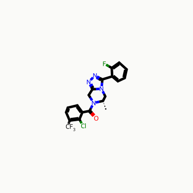 C[C@H]1Cn2c(nnc2-c2ccccc2F)CN1C(=O)c1cccc(C(F)(F)F)c1Cl